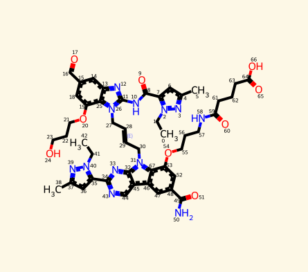 CCn1nc(C)cc1C(=O)Nc1nc2cc(C=O)cc(OCCCO)c2n1C/C=C/Cn1c2nc(-c3cc(C)nn3CC)ncc2c2cc(C(N)=O)cc(OCCCNC(=O)CCCC(=O)O)c21